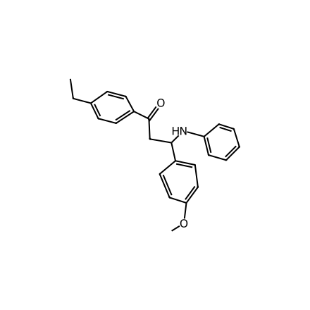 CCc1ccc(C(=O)CC(Nc2ccccc2)c2ccc(OC)cc2)cc1